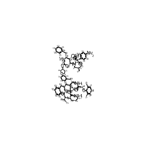 CC(C)CN(C[C@@H](O)[C@H](Cc1ccccc1)NC(=O)O[C@H]1CCOC1)S(=O)(=O)c1ccc(N)cc1.Cc1cccc(C)c1OCC(=O)N[C@@H](Cc1ccccc1)[C@@H](O)C[C@H](Cc1ccccc1)NC(=O)[C@H](C(C)C)N1CCCNC1=O